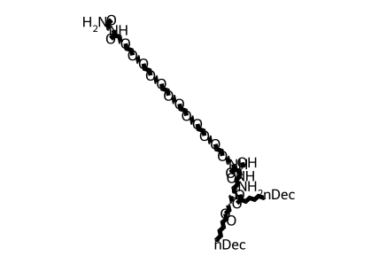 CCCCCCCCCCCCCCCC(=O)OCC[C@H](CSC[C@H](N)C(=O)N[C@@H](CO)C(=O)NCCOCCOCCOCCOCCOCCOCCOCCOCCOCCOCCOCCOCCC(=O)NCC(N)=O)OC(=O)CCCCCCCCCCCCCCC